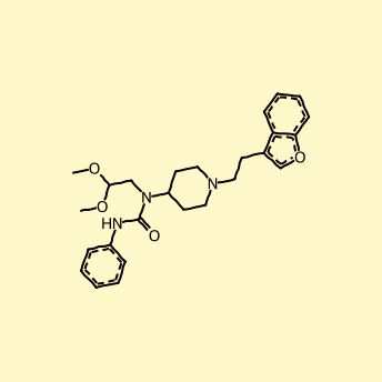 COC(CN(C(=O)Nc1ccccc1)C1CCN(CCc2coc3ccccc23)CC1)OC